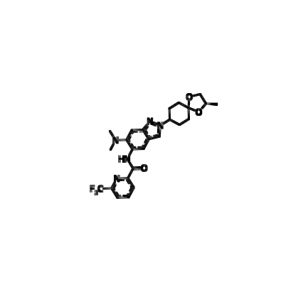 C[C@@H]1COC2(CCC(n3cc4cc(NC(=O)c5cccc(C(F)(F)F)n5)c(N(C)C)cc4n3)CC2)O1